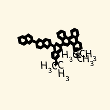 CC(C)c1ccc2c(-c3ccc4cc(-c5ccc6ccccc6c5)ccc4c3)cc(-c3cc4c5cc([Si](C)(C)C)ccc5c5ccccc5c4c4ccccc34)cc2c1